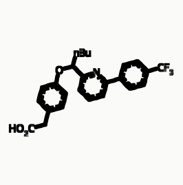 CCCCC(Oc1ccc(CC(=O)O)cc1)c1cccc(-c2ccc(C(F)(F)F)cc2)n1